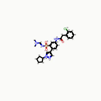 CN(C)C=NS(=O)(=O)c1cc(NC(=O)Cc2ccccc2Cl)ccc1-c1cnn(C2CCCC2)c1